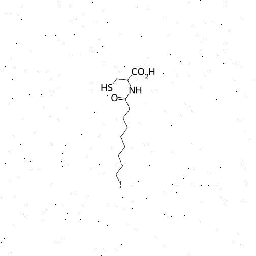 O=C(CCCCCCCCI)NC(CS)C(=O)O